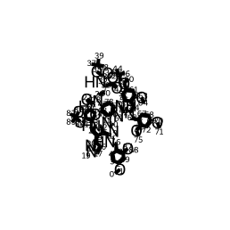 COc1ccc(CNc2ncnc3c2c(-c2ccn(C)n2)cn3[C@@H]2O[C@H](C(=O)N(CC[C@H](NC(=O)OC(C)(C)C)C(=O)OC(C)(C)C)c3ccc4nc(N(Cc5ccc(OC)cc5OC)Cc5ccc(OC)cc5OC)[nH]c4c3)[C@H]3OC(C)(C)O[C@H]32)c(OC)c1